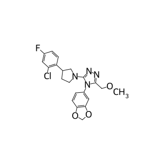 COCc1nnc(N2CCC(c3ccc(F)cc3Cl)C2)n1-c1ccc2c(c1)OCO2